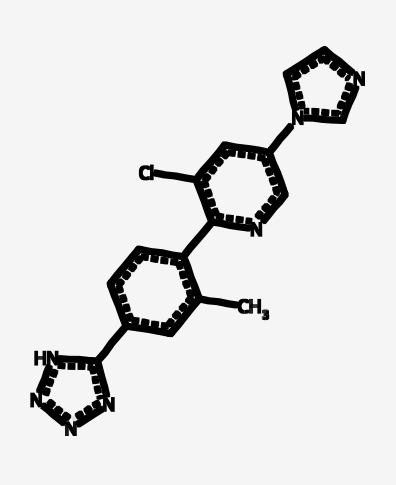 Cc1cc(-c2nnn[nH]2)ccc1-c1ncc(-n2ccnc2)cc1Cl